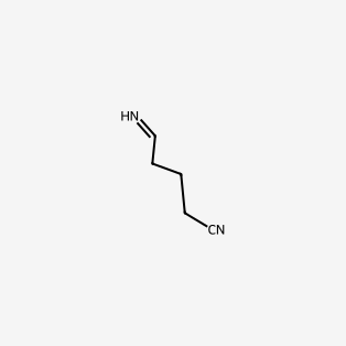 N#CCCCC=N